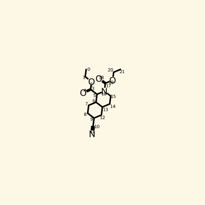 CCOC(=O)C1C2CCC(C#N)CC2CCN1C(=O)OCC